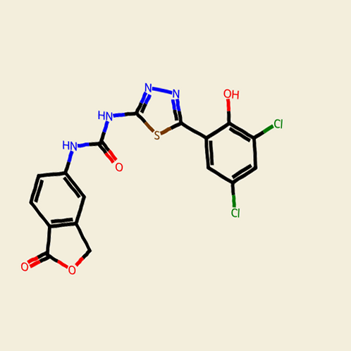 O=C(Nc1ccc2c(c1)COC2=O)Nc1nnc(-c2cc(Cl)cc(Cl)c2O)s1